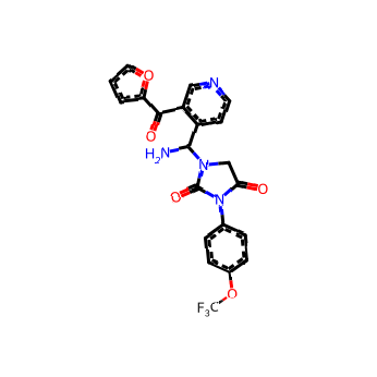 NC(c1ccncc1C(=O)c1ccco1)N1CC(=O)N(c2ccc(OC(F)(F)F)cc2)C1=O